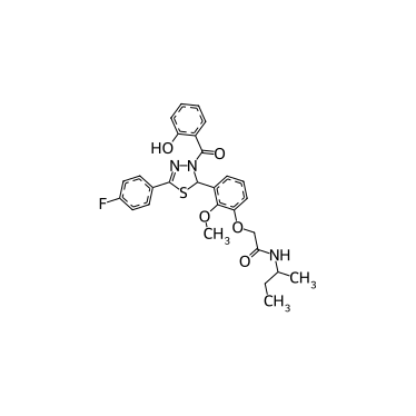 CCC(C)NC(=O)COc1cccc(C2SC(c3ccc(F)cc3)=NN2C(=O)c2ccccc2O)c1OC